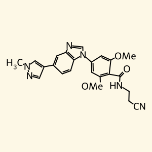 COc1cc(-n2cnc3cc(-c4cnn(C)c4)ccc32)cc(OC)c1C(=O)NCCC#N